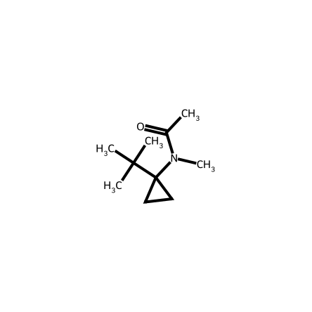 CC(=O)N(C)C1(C(C)(C)C)CC1